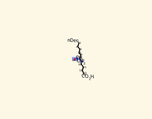 C=C.CCCCCCCCCCCCCCCCCCCCCC(=O)O.N.N